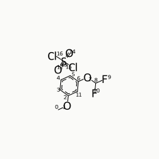 COc1cccc(OC(F)F)c1.O=S(=O)(Cl)Cl